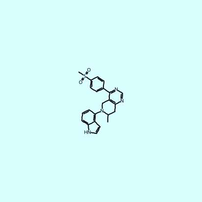 CC1Cc2ncnc(-c3ccc(S(C)(=O)=O)cc3)c2CN1c1cccc2[nH]ccc12